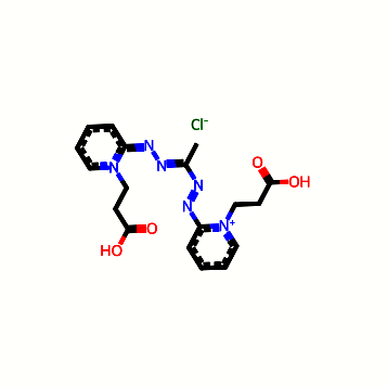 CC(N=Nc1cccc[n+]1CCC(=O)O)=NN=c1ccccn1CCC(=O)O.[Cl-]